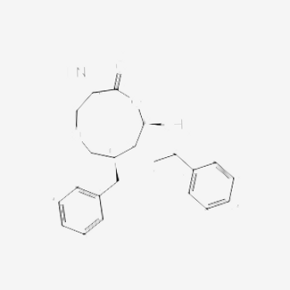 C[C@@H]1OC(=O)[C@@H](N)COC[C@H](Cc2ccccc2)[C@H]1CCc1ccccc1